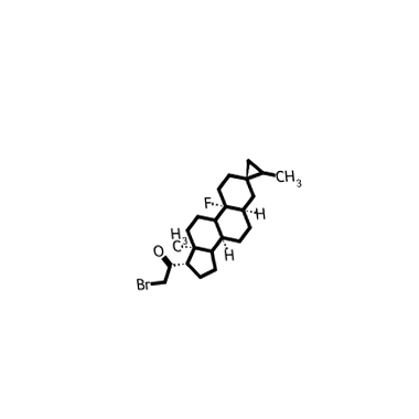 CC1C[C@@]12CC[C@]1(F)C3CC[C@@]4(C)C(CC[C@@H]4C(=O)CBr)[C@@H]3CC[C@@H]1C2